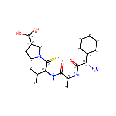 CC(C)[C@H](NC(=O)[C@H](C)NC(=O)[C@@H](N)C1CCCCC1)C(=S)N1CC[C@@H](B(O)O)C1